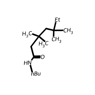 CCCCNC(=O)CC(C)(C)CC(C)(C)CC